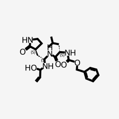 C=CC(O)N[C@H](C[C@@H]1CCNC1=O)NC(=O)[C@H](CC(C)C)NC(=O)OCc1ccccc1